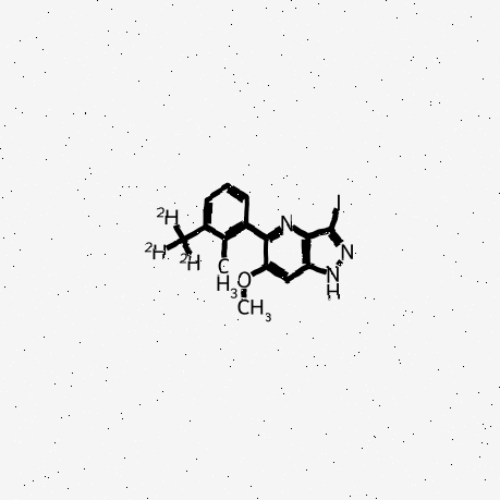 [2H]C([2H])([2H])c1cccc(-c2nc3c(I)n[nH]c3cc2OC)c1C